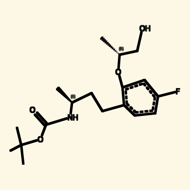 C[C@H](CO)Oc1cc(F)ccc1CC[C@H](C)NC(=O)OC(C)(C)C